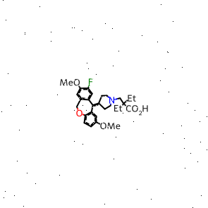 CCC(CC)(CN1CCC(=C2c3cc(F)c(OC)cc3COc3ccc(OC)cc32)CC1)C(=O)O